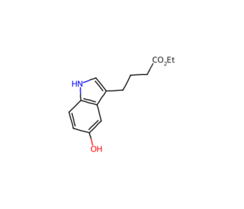 CCOC(=O)CCCc1c[nH]c2ccc(O)cc12